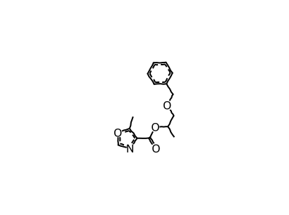 Cc1ocnc1C(=O)OC(C)COCc1ccccc1